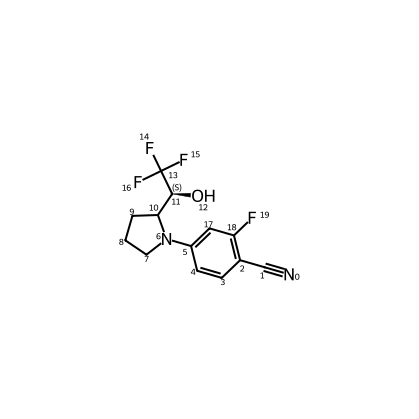 N#Cc1ccc(N2CCCC2[C@H](O)C(F)(F)F)cc1F